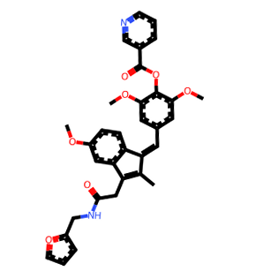 COc1ccc2c(c1)C(CC(=O)NCc1ccco1)=C(C)/C2=C/c1cc(OC)c(OC(=O)c2cccnc2)c(OC)c1